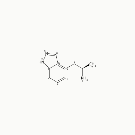 C[C@@H](N)Cc1cccc2[nH]ncc12